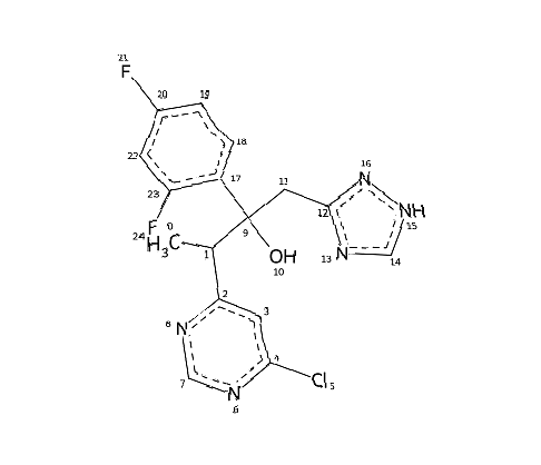 CC(c1cc(Cl)ncn1)C(O)(Cc1nc[nH]n1)c1ccc(F)cc1F